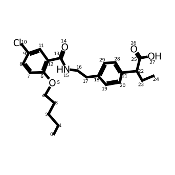 CCCCCOc1ccc(Cl)cc1C(=O)NCCc1ccc(C(CC)C(=O)O)cc1